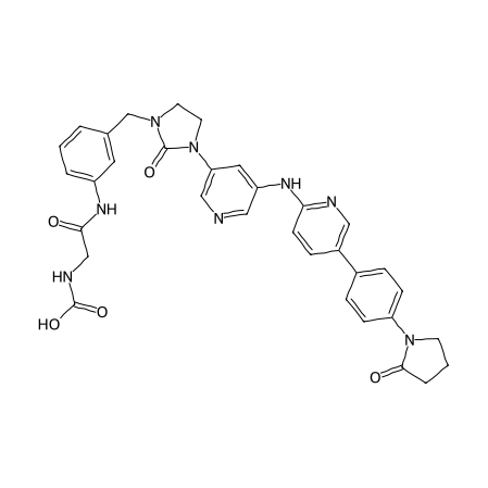 O=C(O)NCC(=O)Nc1cccc(CN2CCN(c3cncc(Nc4ccc(-c5ccc(N6CCCC6=O)cc5)cn4)c3)C2=O)c1